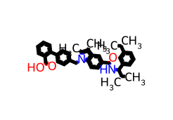 Cc1c(C)n(Cc2ccc(-c3ccccc3C(=O)O)cc2)c2ccc(C(=O)NC(c3cccc(C(C)C)c3)C(C)C)cc12